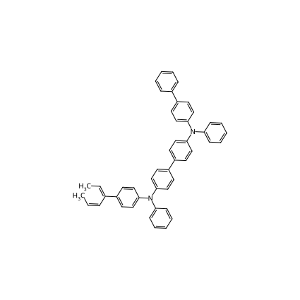 C/C=C\C(=C/C)c1ccc(N(c2ccccc2)c2ccc(-c3ccc(N(c4ccccc4)c4ccc(-c5ccccc5)cc4)cc3)cc2)cc1